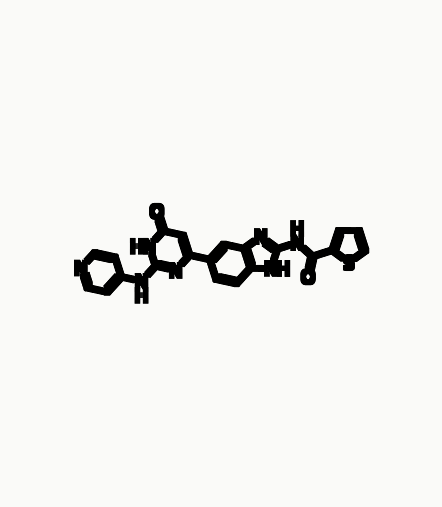 O=C(Nc1nc2cc(-c3cc(=O)[nH]c(Nc4ccncc4)n3)ccc2[nH]1)c1cccs1